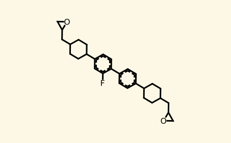 Fc1cc(C2CCC(CC3CO3)CC2)ccc1-c1ccc(C2CCC(CC3CO3)CC2)cc1